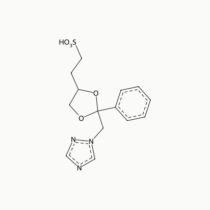 O=S(=O)(O)CCC1COC(Cn2cncn2)(c2ccccc2)O1